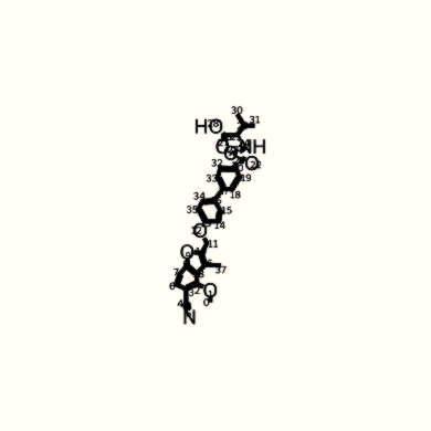 COc1c(C#N)ccc2oc(COc3ccc(-c4ccc(S(=O)(=O)N[C@H](C(=O)O)C(C)C)cc4)cc3)c(C)c12